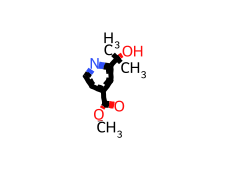 COC(=O)c1ccnc(C(C)(C)O)c1